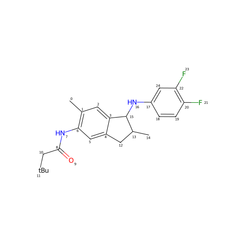 Cc1cc2c(cc1NC(=O)CC(C)(C)C)CC(C)C2Nc1ccc(F)c(F)c1